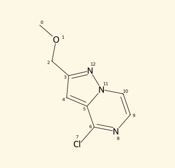 COCc1cc2c(Cl)nccn2n1